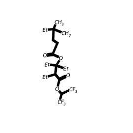 CCC(C(=O)OC(C(F)(F)F)C(F)(F)F)C(CC)(CC)OC(=O)CCC(C)(C)CC